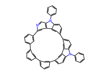 c1ccc(-n2c3ccc4cc3c3cc(ccc32)c2ccc3c(c2)c2cc(ncc2n3-c2ccccc2)c2cccc(c2)c2cccc(c2)c2cccc4c2)cc1